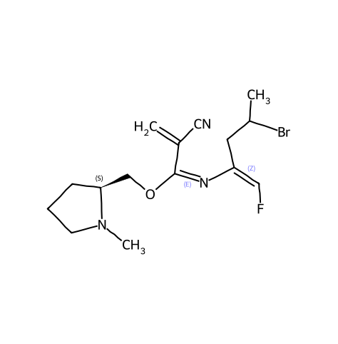 C=C(C#N)/C(=N\C(=C/F)CC(C)Br)OC[C@@H]1CCCN1C